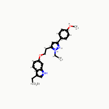 CCOC(=O)Cc1c[nH]c2cc(OCCc3cc(-c4ccc(OC(F)(F)F)cc4)nn3CC(F)(F)F)ccc12